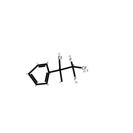 CCC(C)(c1ccccc1)C(F)(F)C(F)(F)F